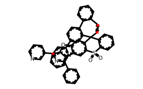 O=S1(=O)c2ccccc2C2(c3ccccc3-c3ccccc3-c3ccc(-c4cc(-c5cccnc5)nc(-c5ccccc5)n4)cc32)c2cc3oc4ccccc4c3cc21